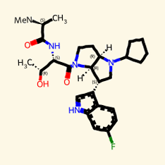 CN[C@@H](C)C(=O)N[C@H](C(=O)N1CC[C@@H]2[C@H]1[C@@H](c1c[nH]c3cc(F)ccc13)CN2C1CCCC1)[C@@H](C)O